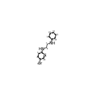 Brc1ccc(NCCNc2ccccc2)nc1